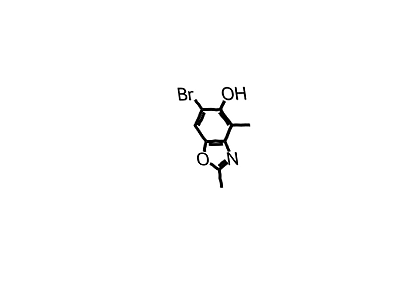 Cc1nc2c(C)c(O)c(Br)cc2o1